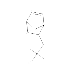 OC(CC1CC2C=CC1O2)(C(F)(F)F)C(F)(F)F